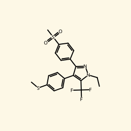 CCn1nc(-c2ccc(S(C)(=O)=O)cc2)c(-c2ccc(SC)cc2)c1C(F)(F)F